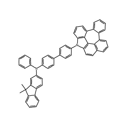 CC1(C)c2ccccc2-c2ccc(N(c3ccccc3)c3ccc(-c4ccc(-n5c6cccc7c6c6c8c(cccc8ccc65)-c5ccccc5-7)cc4)cc3)cc21